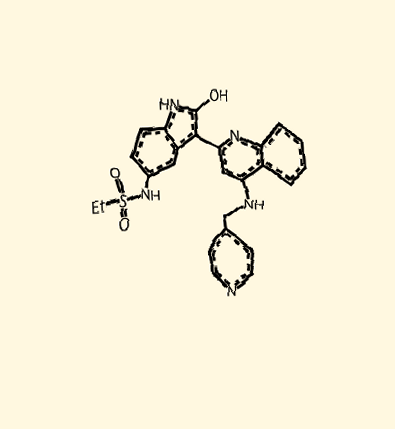 CCS(=O)(=O)Nc1ccc2[nH]c(O)c(-c3cc(NCc4ccncc4)c4ccccc4n3)c2c1